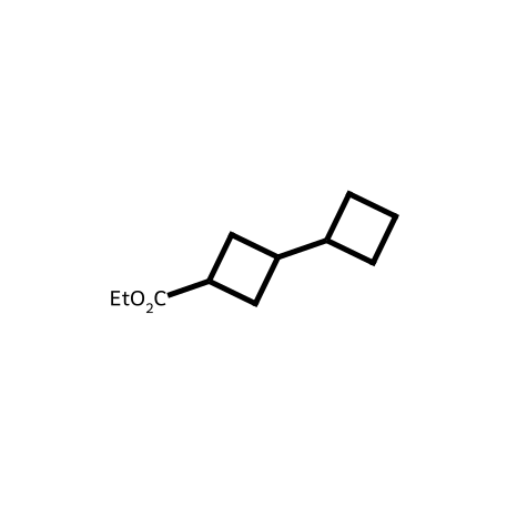 CCOC(=O)C1CC(C2CCC2)C1